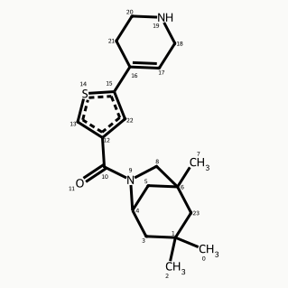 CC1(C)CC2CC(C)(CN2C(=O)c2csc(C3=CCNCC3)c2)C1